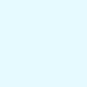 O=C(O)C=Cc1ccc(Oc2c(-c3ccccc3C3CC3)sc3cc(O)ccc23)cc1